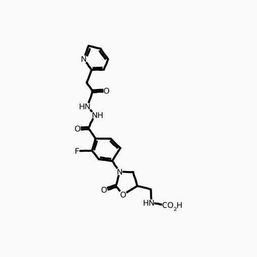 O=C(O)NCC1CN(c2ccc(C(=O)NNC(=O)Cc3ccccn3)c(F)c2)C(=O)O1